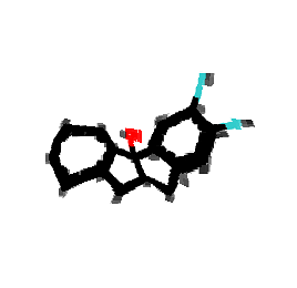 OC12c3ccccc3CC1Cc1cc(F)c(F)cc12